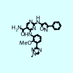 COc1c(Nc2nc(Nc3cc(-c4ccccc4)no3)ncc2C(N)=O)cccc1-c1ncn(C)n1